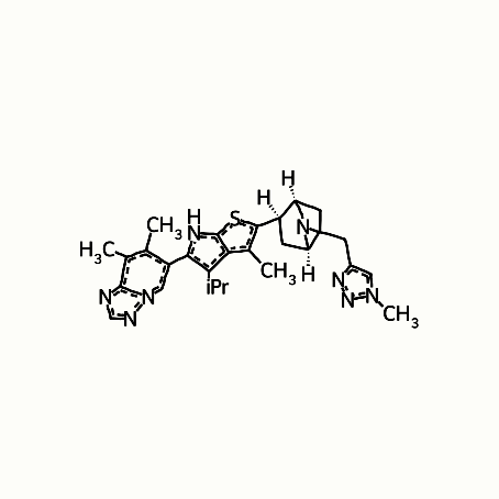 Cc1c(-c2[nH]c3sc([C@@H]4C[C@@H]5CC[C@H]4CN5Cc4cn(C)nn4)c(C)c3c2C(C)C)cn2ncnc2c1C